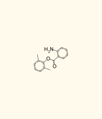 Cc1cccc(C)c1OC(=O)c1ccccc1N